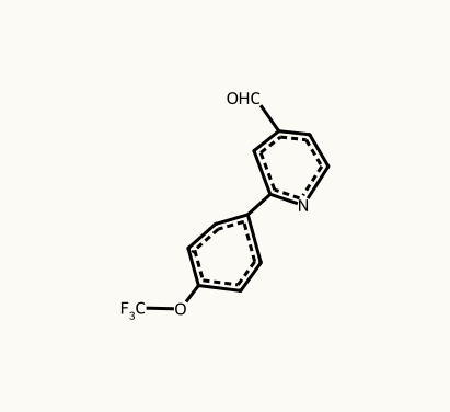 O=Cc1ccnc(-c2ccc(OC(F)(F)F)cc2)c1